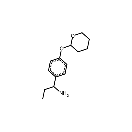 CCC(N)c1ccc(OC2CCCCO2)cc1